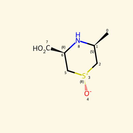 C[C@H]1C[S@+]([O-])C[C@@H](C(=O)O)N1